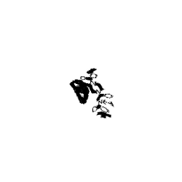 CCOC(=O)N1CCN(C(=O)CNC(=O)OC(C)(C)C)CC1C12CC3CC(CC(C3)C1)C2